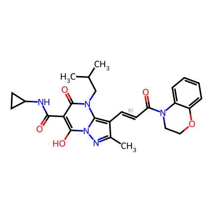 Cc1nn2c(O)c(C(=O)NC3CC3)c(=O)n(CC(C)C)c2c1/C=C/C(=O)N1CCOc2ccccc21